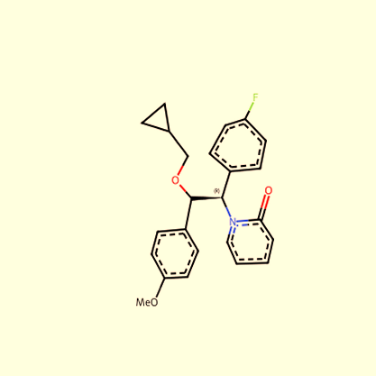 COc1ccc(C(OCC2CC2)[C@@H](c2ccc(F)cc2)n2ccccc2=O)cc1